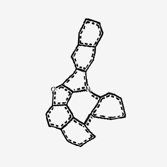 c1ccc2cc3c(cc2c1)c1oc2ccc4cccc5c6ccccc6n3c1c2c45